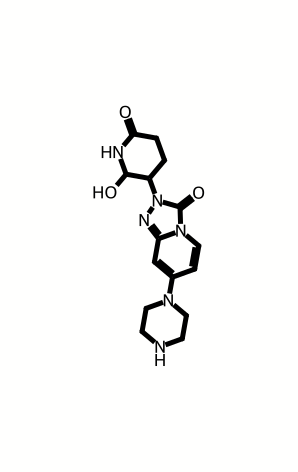 O=C1CCC(n2nc3cc(N4CCNCC4)ccn3c2=O)C(O)N1